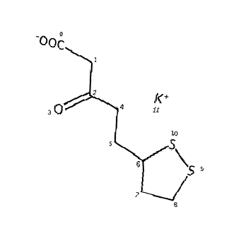 O=C([O-])CC(=O)CCC1CCSS1.[K+]